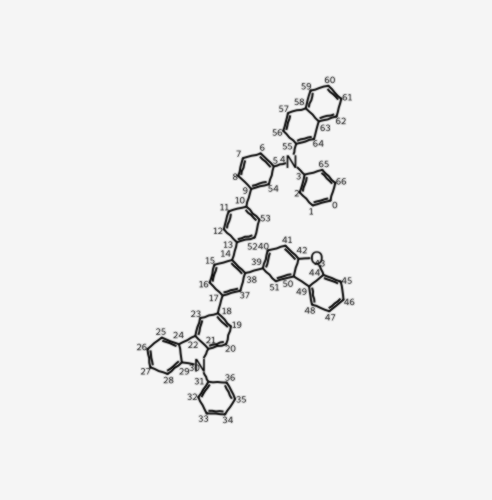 c1ccc(N(c2cccc(-c3ccc(-c4ccc(-c5ccc6c(c5)c5ccccc5n6-c5ccccc5)cc4-c4ccc5oc6ccccc6c5c4)cc3)c2)c2ccc3ccccc3c2)cc1